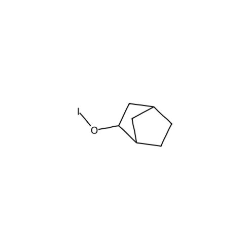 IOC1CC2CCC1C2